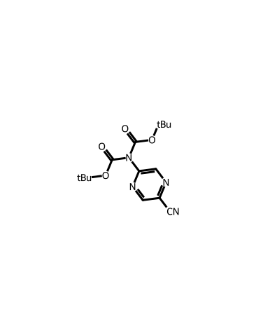 CC(C)(C)OC(=O)N(C(=O)OC(C)(C)C)c1cnc(C#N)cn1